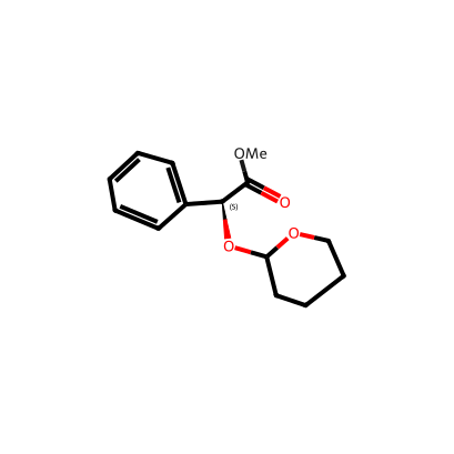 COC(=O)[C@@H](OC1CCCCO1)c1ccccc1